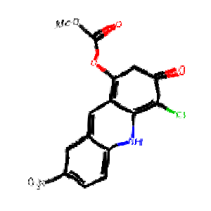 COC(=O)OC1=C2C=C3CC([N+](=O)[O-])=CC=C3NC2=C(Cl)C(=O)C1